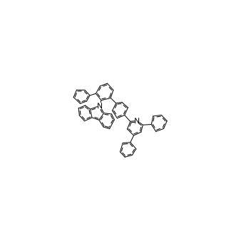 c1ccc(-c2cc(-c3ccccc3)nc(-c3ccc(-c4cccc(-c5ccccc5)c4-n4c5ccccc5c5ccccc54)cc3)c2)cc1